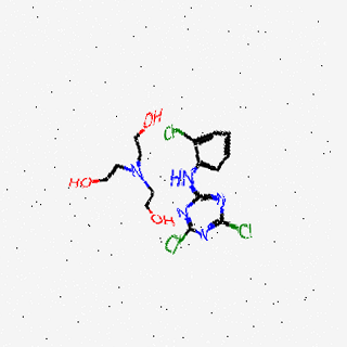 Clc1nc(Cl)nc(Nc2ccccc2Cl)n1.OCCN(CCO)CCO